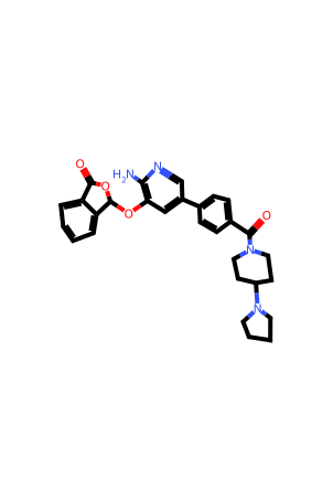 Nc1ncc(-c2ccc(C(=O)N3CCC(N4CCCC4)CC3)cc2)cc1OC1OC(=O)c2ccccc21